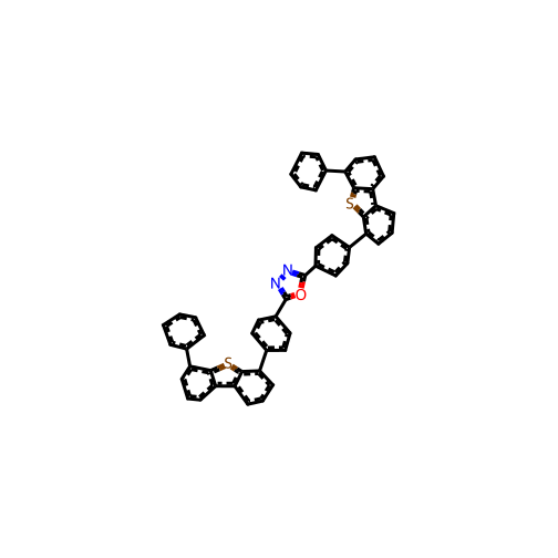 c1ccc(-c2cccc3c2sc2c(-c4ccc(-c5nnc(-c6ccc(-c7cccc8c7sc7c(-c9ccccc9)cccc78)cc6)o5)cc4)cccc23)cc1